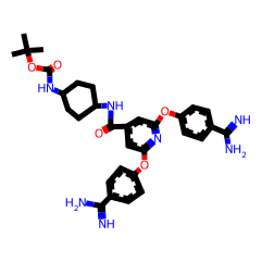 CC(C)(C)OC(=O)NC1CCC(NC(=O)c2cc(Oc3ccc(C(=N)N)cc3)nc(Oc3ccc(C(=N)N)cc3)c2)CC1